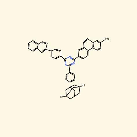 N#Cc1ccc2c(ccc3cc(-c4nc(-c5ccc(-c6ccc7ccccc7c6)cc5)nc(-c5ccc(C67CC8C[C@H](C6)C[C@@H](C8)C7)cc5)n4)ccc32)c1